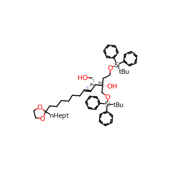 CCCCCCCC1(CCCCCC/C=C/[C@H](CO)[C@@](O)(CCO[Si](c2ccccc2)(c2ccccc2)C(C)(C)C)CO[Si](c2ccccc2)(c2ccccc2)C(C)(C)C)OCCO1